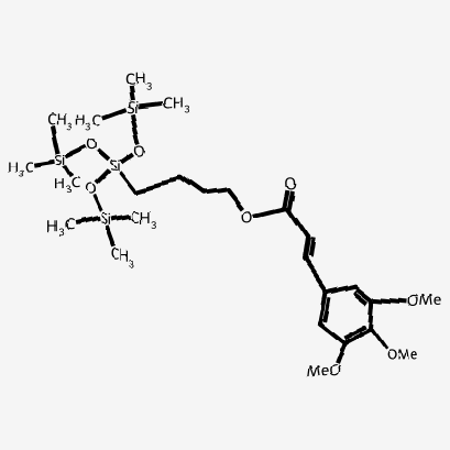 COc1cc(C=CC(=O)OCCCC[Si](O[Si](C)(C)C)(O[Si](C)(C)C)O[Si](C)(C)C)cc(OC)c1OC